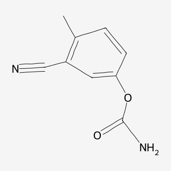 Cc1ccc(OC(N)=O)cc1C#N